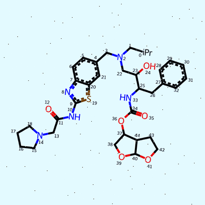 CC(C)CN(Cc1ccc2nc(NC(=O)CN3CCCC3)sc2c1)CC(O)C(Cc1ccccc1)NC(=O)OC1COC2OCCC12